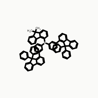 CC1(C)c2ccccc2-c2c(N(c3cccc(-c4cccc5c4C(c4ccccc4)(c4ccccc4)c4ccccc4-5)c3)c3cccc(-c4cccc5c4C(c4ccccc4)(c4ccccc4)c4ccccc4-5)c3)cccc21